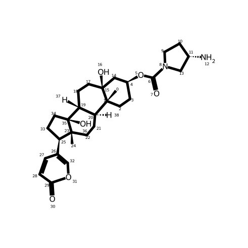 C[C@]12CC[C@H](OC(=O)N3CC[C@H](N)C3)C[C@@]1(O)CC[C@@H]1[C@@H]2CC[C@]2(C)[C@@H](c3ccc(=O)oc3)CC[C@]12O